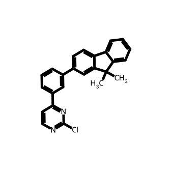 CC1(C)c2ccccc2-c2ccc(-c3cccc(-c4ccnc(Cl)n4)c3)cc21